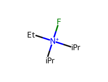 CC[N+](F)(C(C)C)C(C)C